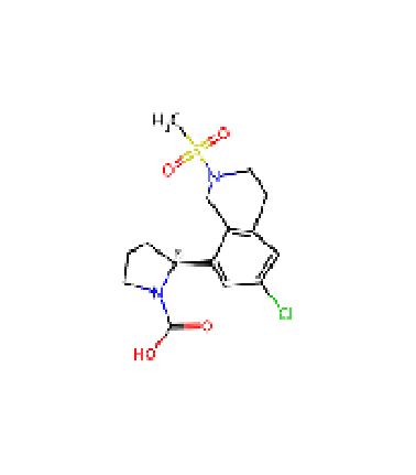 CS(=O)(=O)N1CCc2cc(Cl)cc([C@@H]3CCCN3C(=O)O)c2C1